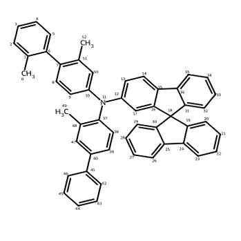 Cc1ccccc1-c1ccc(N(c2ccc3c(c2)C2(c4ccccc4-c4ccccc42)c2ccccc2-3)c2ccc(-c3ccccc3)cc2C)cc1C